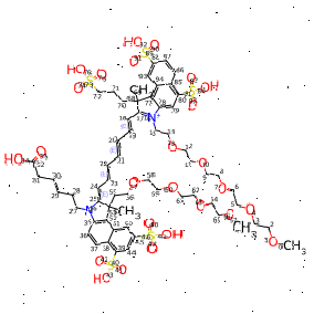 COCCOCCOCCOCCOCC[N+]1=C(/C=C/C=C/C=C/C=C2/N(CCCCCC(=O)O)c3ccc4c(S(=O)(=O)O)cc(S(=O)(=O)O)cc4c3C2(C)CCOCCOCCOCCOC)C(C)(CCCS(=O)(=O)O)c2c1cc(S(=O)(=O)O)c1ccc(S(=O)(=O)O)cc21